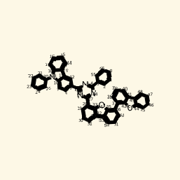 c1ccc(-c2nc(-c3ccc4c(c3)c3ccccc3n4-c3ccccc3)nc(-c3cccc4c3oc3c(-c5cccc6c5oc5ccccc56)cccc34)n2)cc1